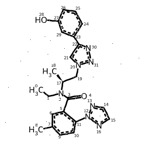 CCN(C(=O)c1cc(C)ccc1-n1nccn1)[C@@H](C)Cn1cc(-c2cccc(O)c2)nn1